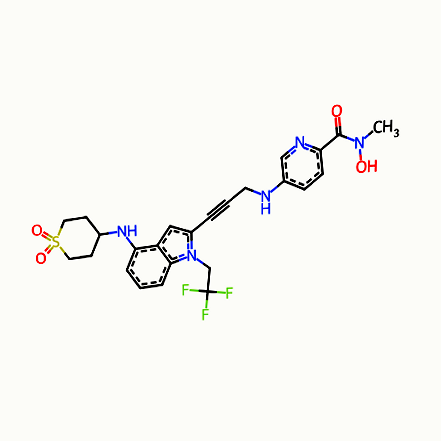 CN(O)C(=O)c1ccc(NCC#Cc2cc3c(NC4CCS(=O)(=O)CC4)cccc3n2CC(F)(F)F)cn1